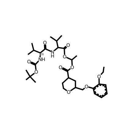 CCOc1ccccc1OCC1CC(C(=O)OC(C)OC(=O)C(NC(=O)[C@@H](NC(=O)OC(C)(C)C)C(C)C)C(C)C)CCO1